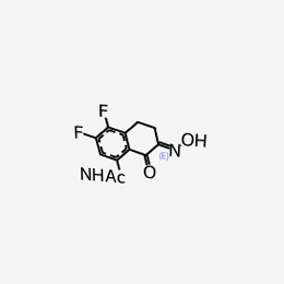 CC(=O)Nc1cc(F)c(F)c2c1C(=O)/C(=N/O)CC2